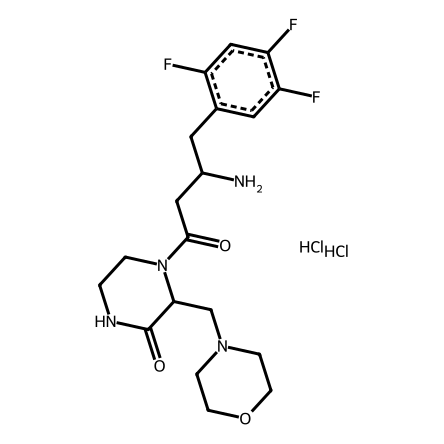 Cl.Cl.NC(CC(=O)N1CCNC(=O)C1CN1CCOCC1)Cc1cc(F)c(F)cc1F